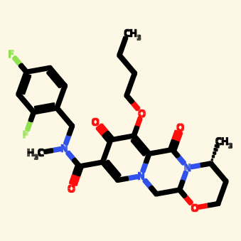 CCCCOc1c2n(cc(C(=O)N(C)Cc3ccc(F)cc3F)c1=O)CC1OCC[C@@H](C)N1C2=O